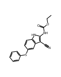 CCOC(=O)Nc1[nH]c2ccc(Sc3ccccc3)cc2c1C#N